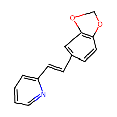 C(=Cc1ccccn1)c1ccc2c(c1)OCO2